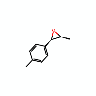 Cc1ccc([C@H]2O[C@H]2C)cc1